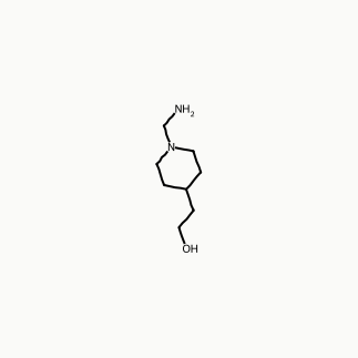 NCN1CCC(CCO)CC1